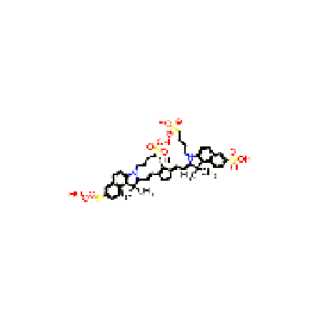 CC1=C(C=CC2=[N+](CCCCS(=O)(=O)O)c3ccc4cc(SOOO)ccc4c3C2(C)C)CCC1=CC=C1N(CCCCS(=O)(=O)O)c2ccc3cc(S(=O)(=O)O)ccc3c2C1(C)C